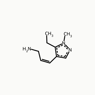 CCc1c(/C=C\CN)cnn1C